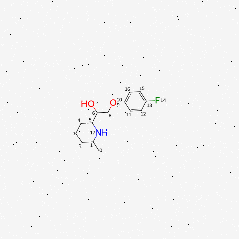 CC1CCCC(C(O)COc2ccc(F)cc2)N1